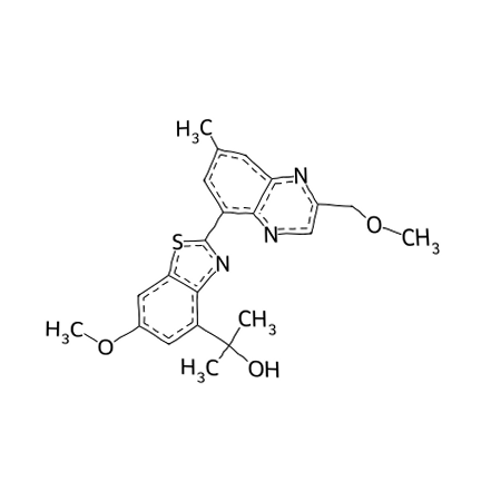 COCc1cnc2c(-c3nc4c(C(C)(C)O)cc(OC)cc4s3)cc(C)cc2n1